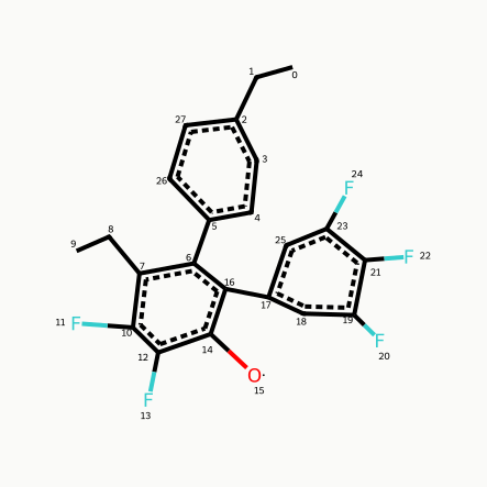 CCc1ccc(-c2c(CC)c(F)c(F)c([O])c2-c2cc(F)c(F)c(F)c2)cc1